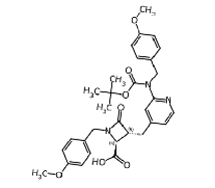 COc1ccc(CN(C(=O)OC(C)(C)C)c2cc(C[C@H]3C(=O)N(Cc4ccc(OC)cc4)[C@@H]3C(=O)O)ccn2)cc1